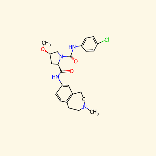 CO[C@@H]1C[C@H](C(=O)Nc2ccc3c(c2)CCN(C)CC3)N(C(=O)Nc2ccc(Cl)cc2)C1